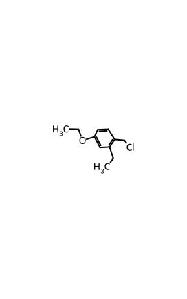 CCOc1ccc(CCl)c(CC)c1